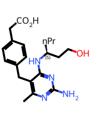 CCC[C@@H](CCO)Nc1nc(N)nc(C)c1Cc1ccc(CC(=O)O)cc1